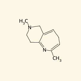 CC1=CCC=C2CN(C)CCC2=N1